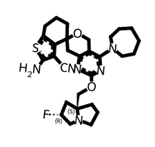 N#Cc1c(N)sc2c1C1(CCC2)Cc2nc(OC[C@@]34CCCN3C[C@H](F)C4)nc(N3CCCCCC3)c2CO1